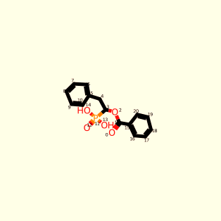 O=C(OC(Cc1ccccc1)P(=O)(O)O)c1ccccc1